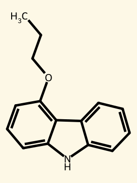 CCCOc1cccc2[nH]c3ccccc3c12